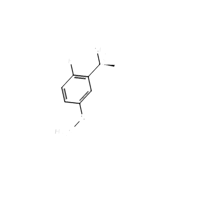 C[C@H](N)c1cc(NC(=O)O)ccc1F